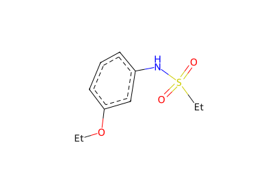 CCOc1cccc(NS(=O)(=O)CC)c1